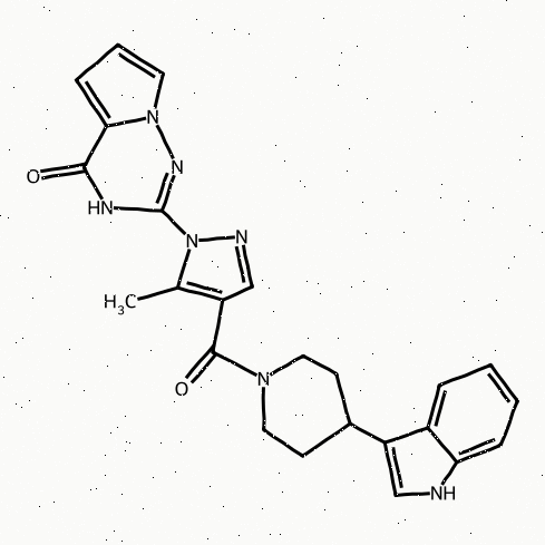 Cc1c(C(=O)N2CCC(c3c[nH]c4ccccc34)CC2)cnn1-c1nn2cccc2c(=O)[nH]1